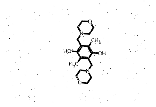 Cc1c(O)c(CN2CCOCC2)c(C)c(O)c1CN1CCOCC1